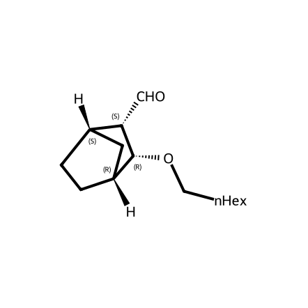 CCCCCCCO[C@@H]1[C@@H]2CC[C@@H](C2)[C@@H]1C=O